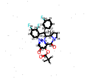 CC(C)(C)C(=O)Oc1c2n(ncc1=O)[C@@H]([C@H](c1cccc(F)c1)c1cccc(F)c1F)[C@H]1CCCN1C2=O